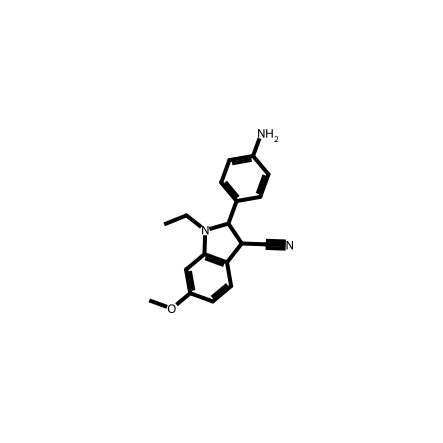 CCN1c2cc(OC)ccc2C(C#N)C1c1ccc(N)cc1